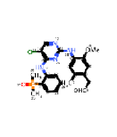 COc1cc(CC=O)c(C)cc1Nc1ncc(Cl)c(Nc2ccccc2P(C)(C)=O)n1